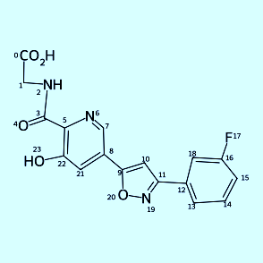 O=C(O)CNC(=O)c1ncc(-c2cc(-c3cccc(F)c3)no2)cc1O